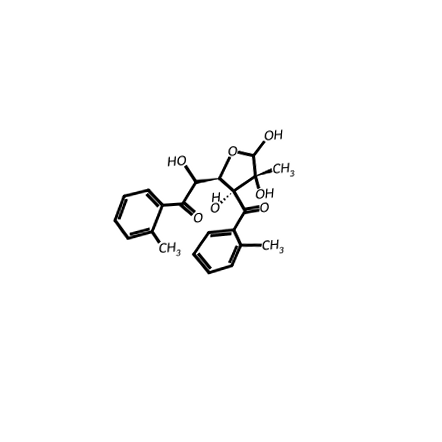 Cc1ccccc1C(=O)C(O)[C@H]1OC(O)[C@](C)(O)[C@@]1(O)C(=O)c1ccccc1C